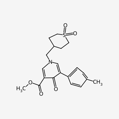 COC(=O)c1cn(CC2CCS(=O)(=O)CC2)cc(-c2ccc(C)cc2)c1=O